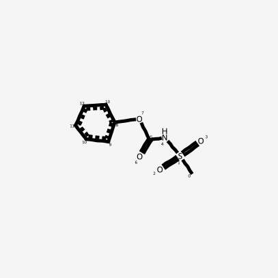 CS(=O)(=O)NC(=O)Oc1ccccc1